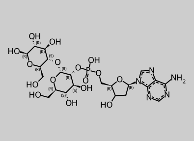 Nc1ncnc2c1ncn2[C@H]1CC(O)[C@@H](COP(=O)(O)O[C@H]2[C@@H](O[C@H]3[C@H](O)[C@@H](O)[C@H](O)O[C@@H]3CO)O[C@H](CO)[C@@H](O)[C@@H]2O)O1